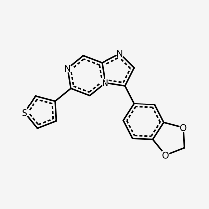 c1cc(-c2cn3c(-c4ccc5c(c4)OCO5)cnc3cn2)cs1